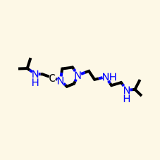 CC(C)NCCNCCN1CCN(CCNC(C)C)CC1